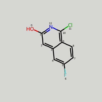 Oc1cc2cc(F)ccc2c(Cl)n1